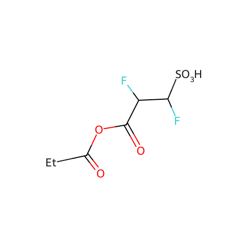 CCC(=O)OC(=O)C(F)C(F)S(=O)(=O)O